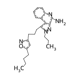 CCCCc1cc(CCCc2c3c(nn2CCC)c(N)nc2ccccc23)no1